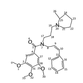 COc1cc(C(=O)N(C/C=C\c2ccccc2)CCCN2CCCCC2C)cc(OC)c1OC